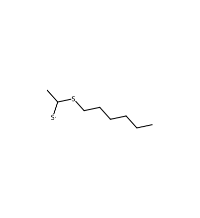 CCCCCCSC(C)[S]